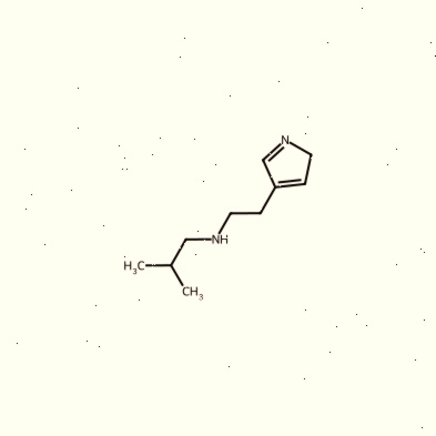 CC(C)CNCCC1=CCN=C1